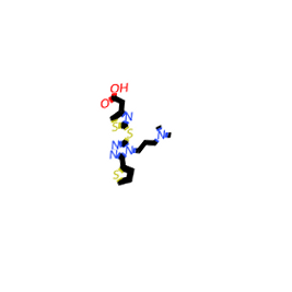 CN(C)CCCn1c(Sc2nc(CC(=O)O)cs2)nnc1-c1cccs1